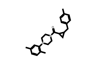 Cc1ccc(CC2CC2C(=O)N2CCN(c3cc(C)ccc3C)CC2)cc1